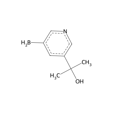 Bc1cncc(C(C)(C)O)c1